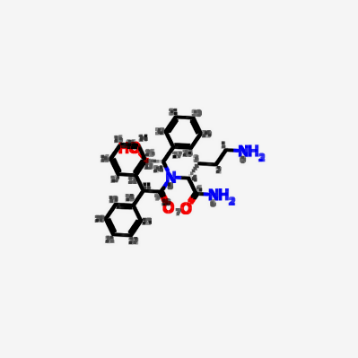 NCCC[C@H](C(N)=O)N(C(=O)C(c1ccccc1)c1ccccc1)[C@H](CO)c1ccccc1